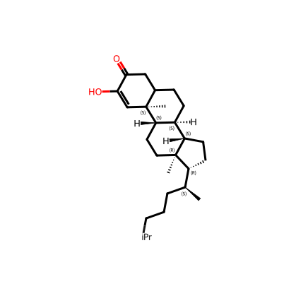 CC(C)CCC[C@H](C)[C@H]1CC[C@H]2[C@@H]3CCC4CC(=O)C(O)=C[C@]4(C)[C@H]3CC[C@]12C